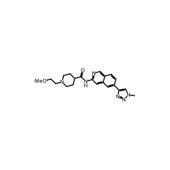 COCCN1CCC(C(=O)Nc2cc3cc(-c4cn(C)nn4)ccc3cn2)CC1